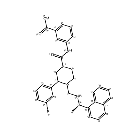 C[C@@H](NCC1CCN(C(=O)Nc2cccc(C(=O)O)c2)CC1c1cccc(F)c1)c1cccc2ccccc12